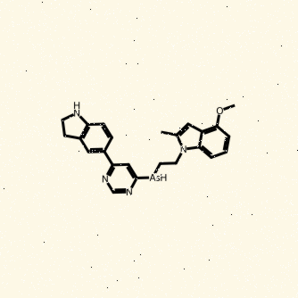 COc1cccc2c1cc(C)n2CC[AsH]c1cc(-c2ccc3c(c2)CCN3)ncn1